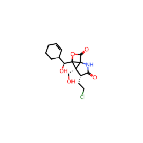 O=C1NC23C(=O)OC2([C@@H](O)[C@@H]2C=CCCC2)[C@]3(CO)[C@H]1CCCl